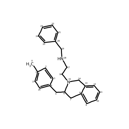 Cc1ccc(CC2Cc3ccccc3CN2CCNCc2ccccc2)cc1